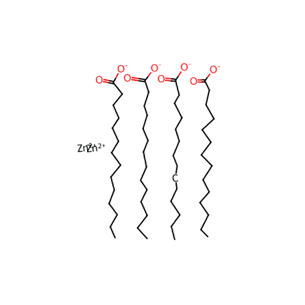 CCCCCCCCCCCCCC(=O)[O-].CCCCCCCCCCCCCC(=O)[O-].CCCCCCCCCCCCCC(=O)[O-].CCCCCCCCCCCCCC(=O)[O-].[Zn+2].[Zn+2]